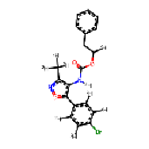 [2H]c1c([2H])c(-c2onc(C([2H])([2H])[2H])c2N([2H])C(=O)OC([2H])Cc2ccccc2)c([2H])c([2H])c1Br